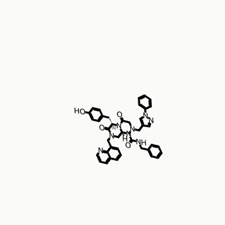 O=C1[C@H](Cc2ccc(O)cc2)N2C(=O)CN(Cc3cnn(-c4ccccc4)c3)N(C(=O)NCc3ccccc3)[C@H]2CN1Cc1cccc2cccnc12